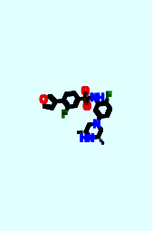 C[C@@H]1CN(c2ccc(F)c(NS(=O)(=O)c3ccc(-c4ccoc4)c(F)c3)c2)C[C@H](C)N1